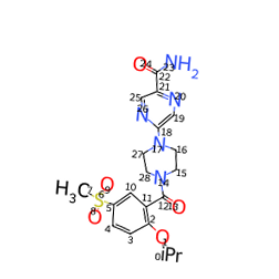 CC(C)Oc1ccc(S(C)(=O)=O)cc1C(=O)N1CCN(c2cnc(C(N)=O)cn2)CC1